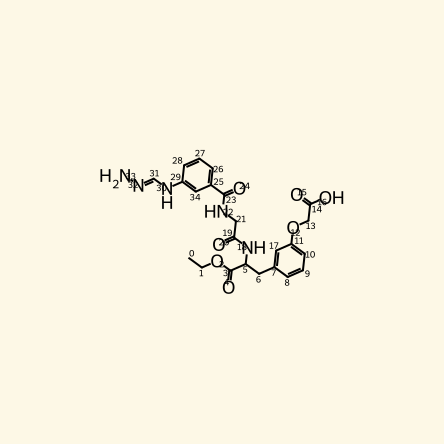 CCOC(=O)C(Cc1cccc(OCC(=O)O)c1)NC(=O)CNC(=O)c1cccc(NC=NN)c1